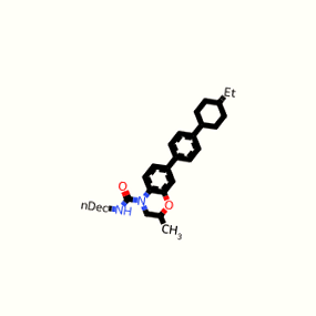 CCCCCCCCCCNC(=O)N1CC(C)Oc2cc(-c3ccc(C4CCC(CC)CC4)cc3)ccc21